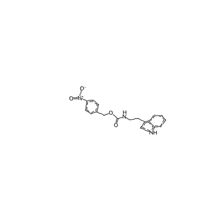 O=C(NCCc1c[nH]c2ccccc12)OCc1ccc([N+](=O)[O-])cc1